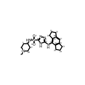 CN1CCC(NS(=O)(=O)c2nnc(Nc3c4c(cc5c3CCC5)CCC4)[nH]2)CC1